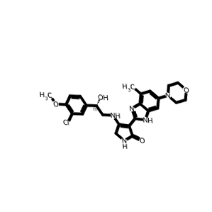 COc1ccc([C@H](O)CNC2=C(c3nc4c(C)cc(N5CCOCC5)cc4[nH]3)C(=O)NC2)cc1Cl